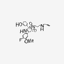 C#CCNCCCN1C(=O)N2[C@H](C3=CCCC(O)=C3)c3[nH]c4cc(F)c(OC)cc4c3C[C@@]2(C)C1=O